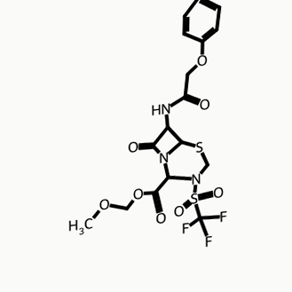 COCOC(=O)C1N2C(=O)C(NC(=O)COc3ccccc3)C2SCN1S(=O)(=O)C(F)(F)F